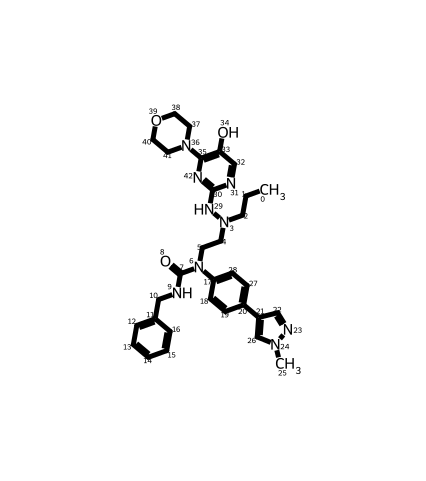 CCCN(CCN(C(=O)NCc1ccccc1)c1ccc(-c2cnn(C)c2)cc1)Nc1ncc(O)c(N2CCOCC2)n1